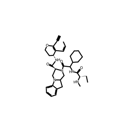 C#CC1=C(/C=C\C)[C@H](NC(=O)[C@@H]2CN3c4ccccc4CC3CN2C(=O)C(NC(=O)[C@H](CC)NC)C2CCCCC2)CCO1